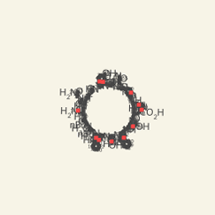 CCCC[C@H]1C(=O)N(C)[C@@H](CCCC)C(=O)N[C@@H](CCN)C(=O)N[C@H](C(=O)NCC(N)=O)CSCC(=O)N[C@@H](Cc2ccc(O)cc2)C(=O)N(C)[C@@H](C)C(=O)N[C@@H](CCC(N)=O)C(=O)N2CCC[C@H]2C(=O)N[C@@H](Cc2cnc[nH]2)C(=O)N[C@@H](CCC(=O)O)C(=O)N2C[C@H](O)C[C@H]2C(=O)N[C@@H](Cc2c[nH]c3ccccc23)C(=O)N[C@@H](CCO)C(=O)N[C@@H](Cc2c[nH]c3ccccc23)C(=O)N1C